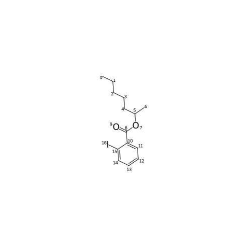 CCCCCC(C)OC(=O)c1ccccc1I